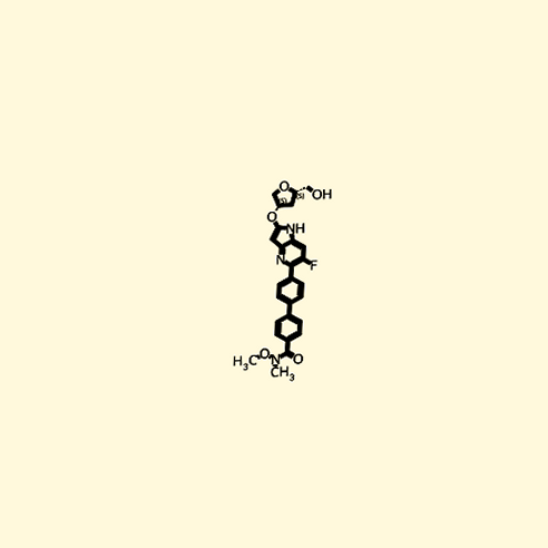 CON(C)C(=O)c1ccc(-c2ccc(-c3nc4cc(O[C@@H]5CO[C@H](CO)C5)[nH]c4cc3F)cc2)cc1